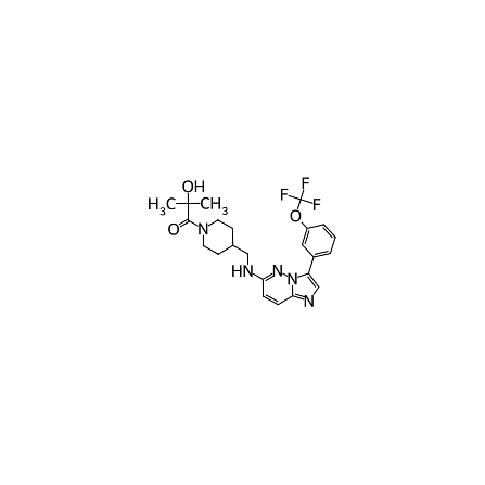 CC(C)(O)C(=O)N1CCC(CNc2ccc3ncc(-c4cccc(OC(F)(F)F)c4)n3n2)CC1